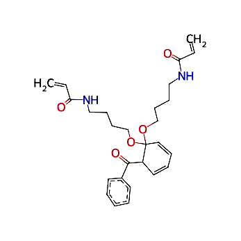 C=CC(=O)NCCCCOC1(OCCCCNC(=O)C=C)C=CC=CC1C(=O)c1ccccc1